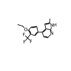 CCOc1ccc(-c2ccnc3[nH]c(C)cc23)cc1C(F)(F)F